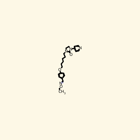 CCO/N=C/c1ccc(OCCCCCCN2CCN(c3ccncc3)C2=O)cc1